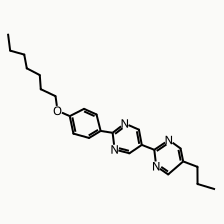 CCCCCCCOc1ccc(-c2ncc(-c3ncc(CCC)cn3)cn2)cc1